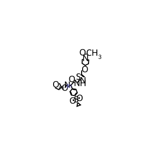 CC(=O)N1CCC(OCc2cnc(NC(=O)/C(=N/O[C@@H]3CCOC3)c3ccc(S(=O)(=O)C4CC4)cc3)s2)CC1